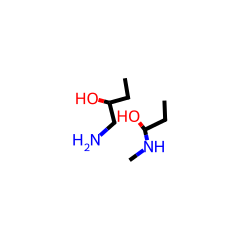 CCC(O)CN.CCC(O)NC